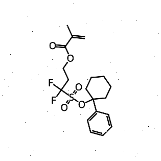 C=C(C)C(=O)OCCC(F)(F)S(=O)(=O)OC1(c2ccccc2)CCCCC1